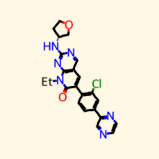 CCn1c(=O)c(-c2ccc(-c3cnccn3)cc2Cl)cc2cnc(N[C@@H]3CCOC3)nc21